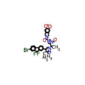 C=C(N/C=C(/c1ccc2c(c1)C(F)(F)c1cc(Br)ccc1-2)C(C)C)C1CN(C(=O)N2Cc3cc4c(cc3C2)OCO4)CN1C=O